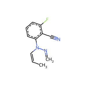 C=NN(/C=C\C)c1cccc(F)c1C#N